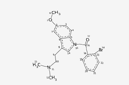 COc1ccc2c(c1)c(CCN(C)C)cn2C(=O)c1ccccc1Br